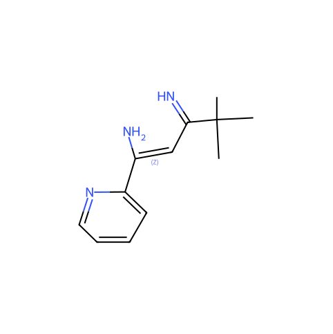 CC(C)(C)C(=N)/C=C(\N)c1ccccn1